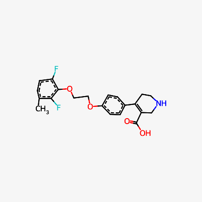 Cc1ccc(F)c(OCCOc2ccc(C3=C(C(=O)O)CNCC3)cc2)c1F